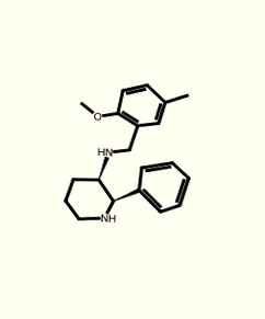 COc1ccc(C)cc1CN[C@@H]1CCCN[C@@H]1c1ccccc1